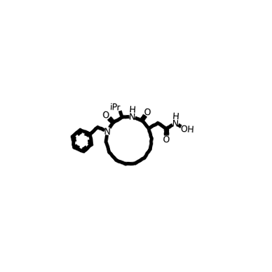 CC(C)C1NC(=O)C(CC(=O)NO)CCCCCCCCN(Cc2ccccc2)C1=O